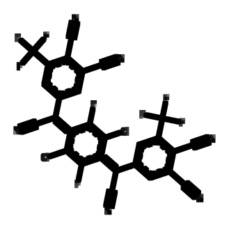 N#C/C(c1cc(C#N)c(C#N)c(C(F)(F)F)c1)=c1/c(F)c(Cl)/c(=C(/C#N)c2cc(C#N)c(C#N)c(C(F)(F)F)c2)c(F)c1Cl